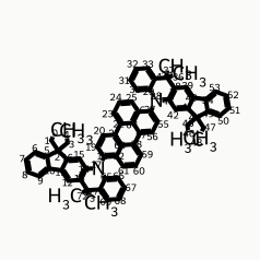 CCC1(CC)c2ccccc2-c2cc3c(cc21)N(c1ccc2c4cccc5c(N6c7ccccc7C(C)(C)c7cc8c(cc76)C(CC)(CC)c6ccccc6-8)ccc(c6cccc1c62)c54)c1ccccc1C3(C)C